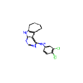 Clc1ccc(Nc2ncnc3[nH]c4c(c23)CCCC4)cc1Cl